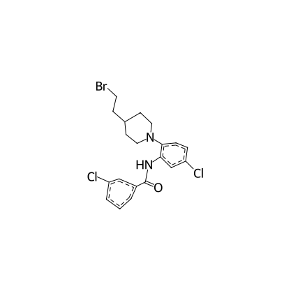 O=C(Nc1cc(Cl)ccc1N1CCC(CCBr)CC1)c1cccc(Cl)c1